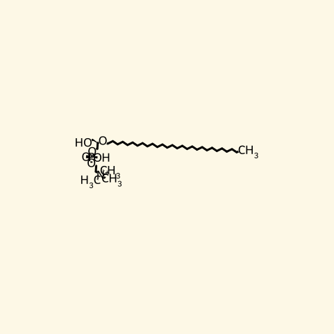 CCCCCCCCCCCCCCCCCCCCCCCCCCCCO[C@H](CO)COP(=O)(O)OCC[N+](C)(C)C